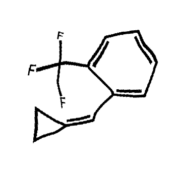 FC(F)(F)c1ccccc1C=C1CC1